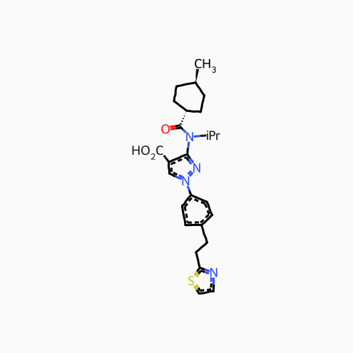 CC(C)N(c1nn(-c2ccc(CCc3nccs3)cc2)cc1C(=O)O)C(=O)[C@H]1CC[C@H](C)CC1